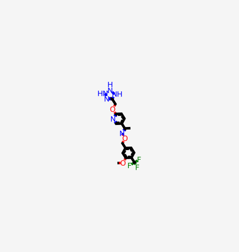 COc1cc(CO/N=C(\C)c2ccc(OCC3=NNNN3)nc2)ccc1C(F)(F)F